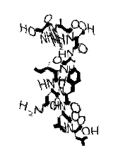 CC[C@H](C)[C@H](NC(=O)[C@H](C)NC(=O)[C@H](CO)NC(=O)[C@H](C)NC(=O)[C@@H](N)CO)C(=O)N[C@@H](CC(N)=O)C(=O)N[C@@H](Cc1ccccc1)C(=O)N[C@@H](CC(C)C)C(=O)N[C@@H](CC(C)C)C(=O)O